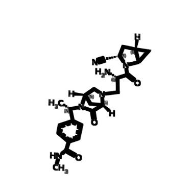 CNC(=O)c1ccc([C@H](C)N2C(=O)[C@@H]3C[C@H]2CN3C[C@H](N)C(=O)N2C3C[C@H]3C[C@H]2C#N)cc1